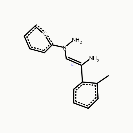 Cc1ccccc1/C(N)=C/N(N)c1ccccc1